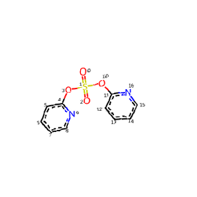 O=S(=O)(Oc1ccccn1)Oc1ccccn1